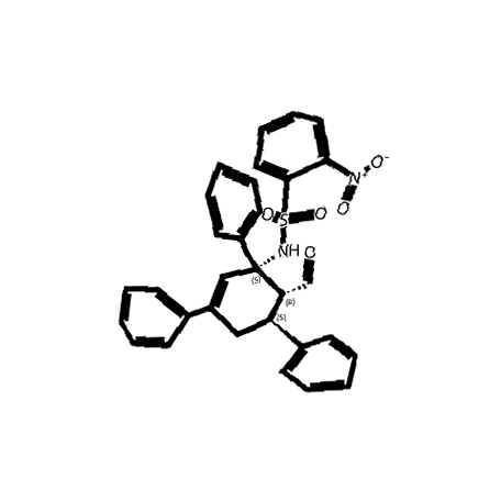 O=C[C@@H]1[C@@H](c2ccccc2)CC(c2ccccc2)=C[C@@]1(NS(=O)(=O)c1ccccc1[N+](=O)[O-])c1ccccc1